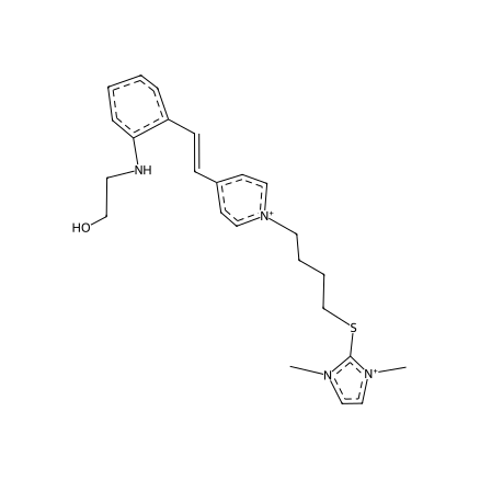 Cn1cc[n+](C)c1SCCCC[n+]1ccc(/C=C/c2ccccc2NCCO)cc1